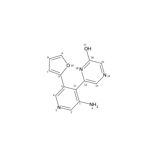 Nc1cncc(-c2ccco2)c1-c1cncc(O)n1